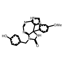 COc1ccc(C23NC(=O)N(Cc4ccc(O)cc4)C2=NC=Nc2[nH]cnc23)cc1